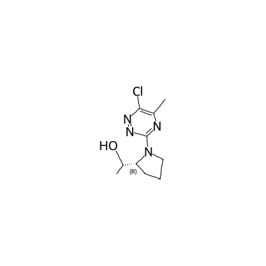 Cc1nc(N2CCC[C@@H]2C(C)O)nnc1Cl